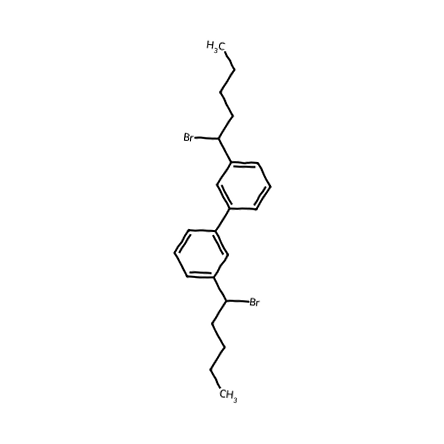 CCCCC(Br)c1cccc(-c2cccc(C(Br)CCCC)c2)c1